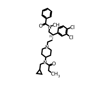 CCC(=O)N(CC1CC1)C1CCN(CC[C@H](CN(C)C(=O)c2ccccc2)c2ccc(Cl)c(Cl)c2)CC1